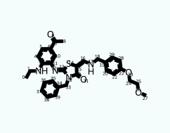 CCNc1ccc(C(C)=O)cc1N=C1SC(=CNCc2ccc(OCCOC)cc2)C(=O)N1Cc1ccccc1